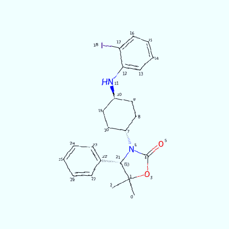 CC1(C)OC(=O)N([C@H]2CC[C@H](Nc3ccccc3I)CC2)[C@H]1c1ccccc1